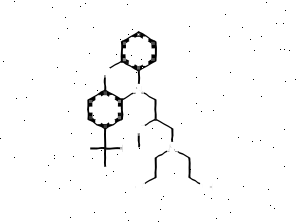 COC(CN(CCO)CCO)CN1c2ccccc2Sc2ccc(C(C)(F)F)cc21